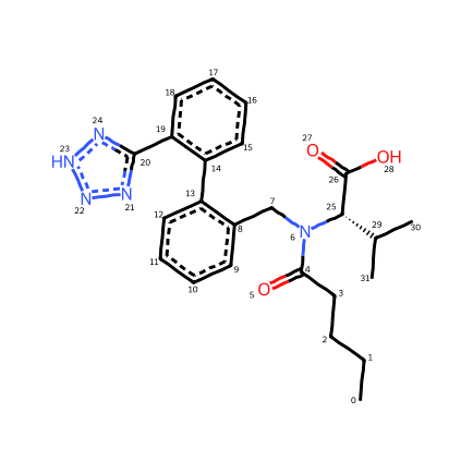 CCCCC(=O)N(Cc1ccccc1-c1ccccc1-c1nn[nH]n1)[C@H](C(=O)O)C(C)C